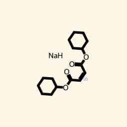 O=C(/C=C\C(=O)OC1CCCCC1)OC1CCCCC1.[NaH]